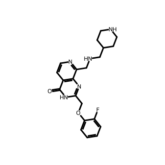 O=c1[nH]c(COc2ccccc2F)nc2c(CNCC3CCNCC3)nccc12